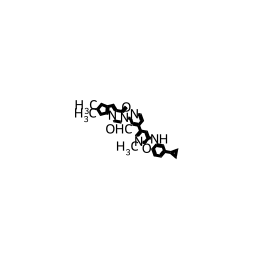 Cn1cc(-c2ccnc(N3CCn4c(cc5c4CC(C)(C)C5)C3=O)c2C=O)cc(Nc2cccc(C3CC3)c2)c1=O